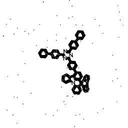 c1ccc(-c2ccc(-c3nc(-c4ccc(-c5ccccc5)cc4)nc(-c4ccc(-c5ccc6c7c5c5ccccc5n7-c5ccccc5C65c6ccccc6-c6ccccc65)cc4)n3)cc2)cc1